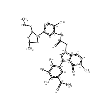 CNCC1CC(C)CN1c1cc(NC(=O)Cn2cc(-c3cc(C(N)=O)c(O)c(F)c3F)c3c(=O)n(C)cnc32)c(Cl)cn1